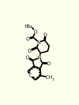 Cc1cccc2c1C(=O)N(C1CCC(=O)N(C(=O)OC(C)(C)C)C1=O)C2=O